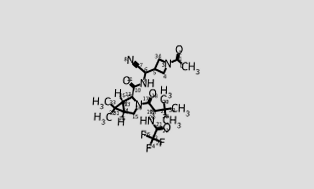 CC(=O)N1CC(C(C#N)NC(=O)[C@@H]2[C@@H]3[C@H](CN2C(=O)[C@@H](NC(=O)C(F)(F)F)C(C)(C)C)C3(C)C)C1